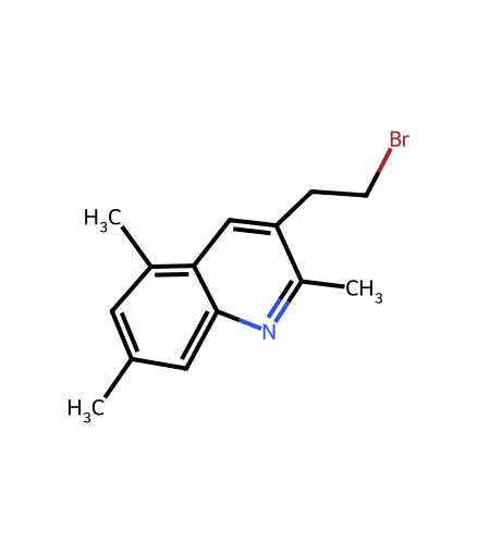 Cc1cc(C)c2cc(CCBr)c(C)nc2c1